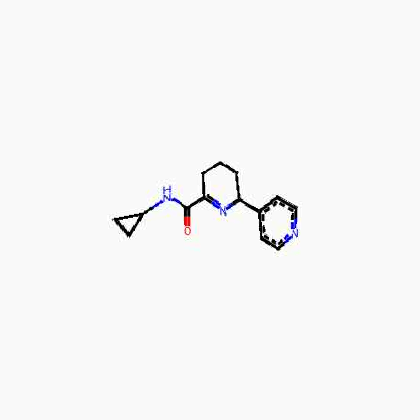 O=C(NC1CC1)C1=NC(c2ccncc2)CCC1